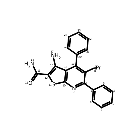 CC(C)c1c(-c2ccccc2)nc2sc(C(N)=O)c(N)c2c1-c1ccccc1